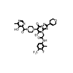 CCc1c(N2CCN(C(=O)c3ncnc(C)c3O)CC2)c(=O)n2nc(C3=CCOCC3)nc2n1CC(=O)Nc1ccc(C(F)(F)F)c(F)c1C